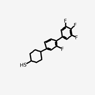 Fc1cc(C2CCC(S)CC2)ccc1-c1cc(F)c(F)c(F)c1